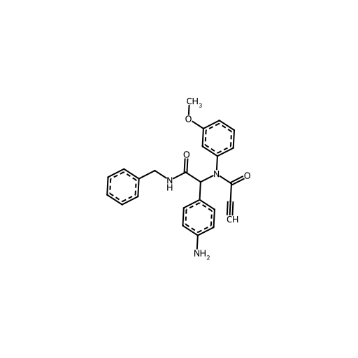 C#CC(=O)N(c1cccc(OC)c1)C(C(=O)NCc1ccccc1)c1ccc(N)cc1